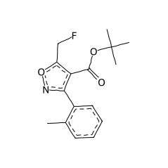 Cc1ccccc1-c1noc(CF)c1C(=O)OC(C)(C)C